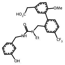 CCN(Cc1cc(C(F)(F)F)ccc1-c1cc(CC(=O)O)ccc1OC)C(=O)NCc1cccc(O)c1